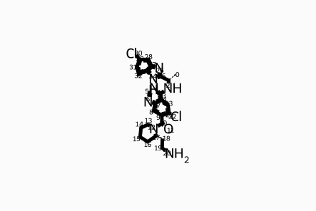 C[C@H](Nc1ncnc2cc(C(=O)N3CCCC[C@H]3CCN)c(Cl)cc12)c1nc2cc(Cl)ccc2[nH]1